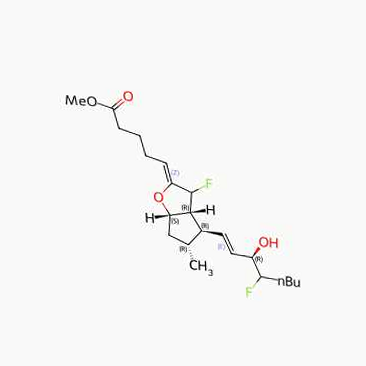 CCCCC(F)[C@H](O)/C=C/[C@@H]1[C@H]2C(F)/C(=C/CCCC(=O)OC)O[C@H]2C[C@H]1C